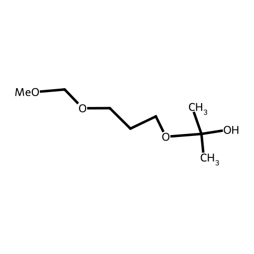 COCOCCCOC(C)(C)O